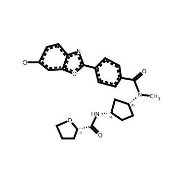 CN(C(=O)c1ccc(-c2nc3ccc(Cl)cc3o2)cc1)[C@@H]1CC[C@H](NC(=O)[C@@H]2CCCO2)C1